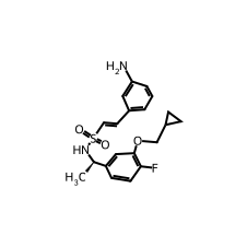 C[C@@H](NS(=O)(=O)/C=C/c1cccc(N)c1)c1ccc(F)c(OCC2CC2)c1